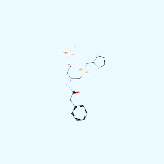 O=C(Cc1ccccc1)NC(CCOP(=O)(O)O)CS(=O)(=O)CC1CCCC1